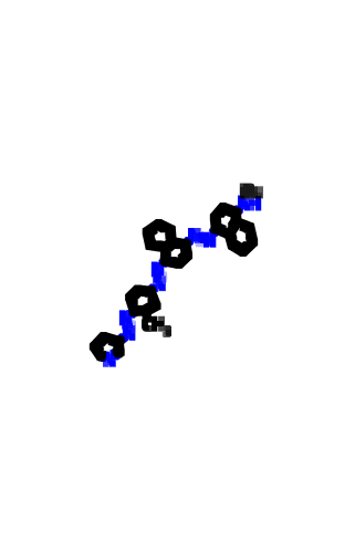 CCC(C)Nc1ccc(/N=N/c2ccc(/N=N/c3ccc(/N=N/c4cccnc4)c(C)c3)c3ccccc23)c2ccccc12